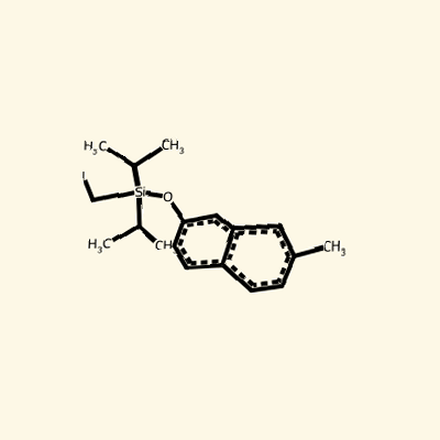 Cc1ccc2ccc(O[Si](CI)(C(C)C)C(C)C)cc2c1